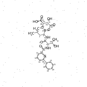 CC(C)CC(NC(=O)C(NC(=O)c1cccc(-c2ccccc2)n1)C(C)O)B1OC(=O)[C@@H](O)[C@H](C(=O)O)O1